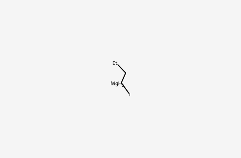 CCCCI.[MgH2]